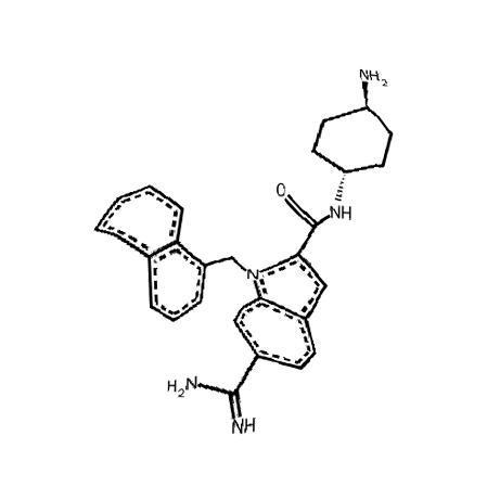 N=C(N)c1ccc2cc(C(=O)N[C@H]3CC[C@H](N)CC3)n(Cc3cccc4ccccc34)c2c1